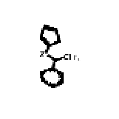 C[CH]([Zr][C]1=CC=CC1)c1ccccc1